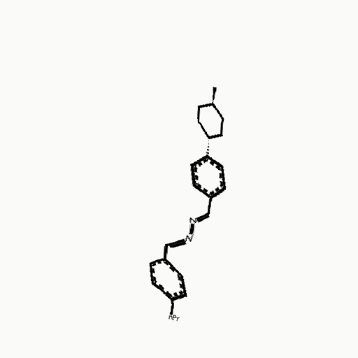 CCCc1ccc(C=NN=Cc2ccc([C@H]3CC[C@H](C)CC3)cc2)cc1